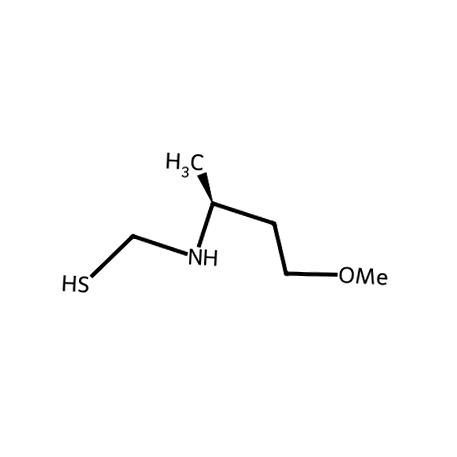 COCC[C@H](C)NCS